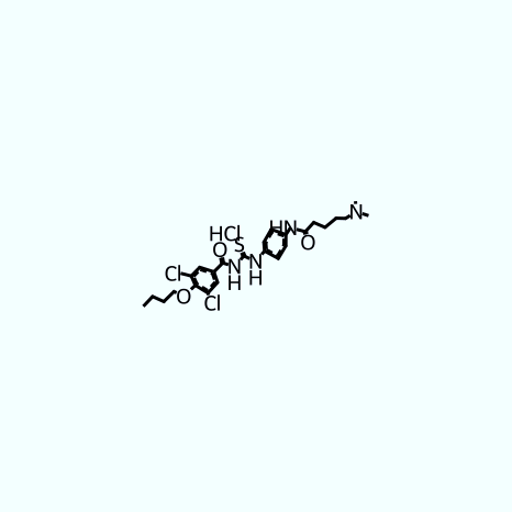 CCCCOc1c(Cl)cc(C(=O)NC(=S)Nc2ccc(NC(=O)CCCCN(C)C)cc2)cc1Cl.Cl